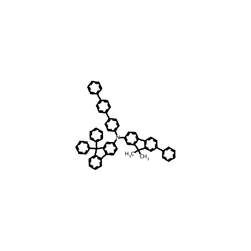 CC1(C)c2cc(-c3ccccc3)ccc2-c2ccc(N(c3ccc(-c4ccc(-c5ccccc5)cc4)cc3)c3ccc4c(c3)C(c3ccccc3)(c3ccccc3)c3ccccc3-4)cc21